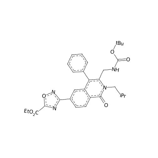 CCOC(=O)c1nc(-c2ccc3c(=O)n(CC(C)C)c(CNC(=O)OC(C)(C)C)c(-c4ccccc4)c3c2)no1